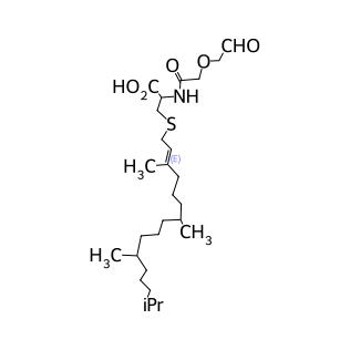 C/C(=C\CSCC(NC(=O)COCC=O)C(=O)O)CCCC(C)CCCC(C)CCCC(C)C